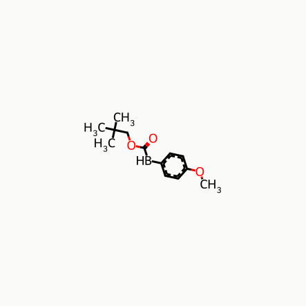 COc1ccc(BC(=O)OCC(C)(C)C)cc1